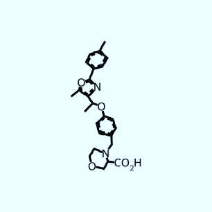 Cc1ccc(-c2nc(C(C)Oc3ccc(CN4CCOCC4C(=O)O)cc3)c(C)o2)cc1